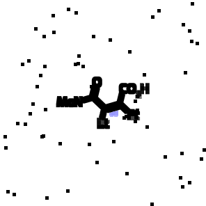 CC/C(C(=O)O)=C(\CC)C(=O)NC